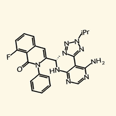 CC(C)n1nnc(-c2c(N)ncnc2N[C@@H](C)c2cc3cccc(F)c3c(=O)n2-c2ccccc2)n1